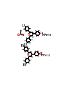 CCCCCOc1ccc(-c2cc(-c3ccc(CC)cc3)[o+]c(-c3ccc(CC)cc3)c2)cc1.CCCCCOc1ccc(-c2cc(-c3ccc(CC)cc3)[o+]c(-c3ccc(CC)cc3)c2)cc1.[O-]B([O-])F